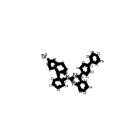 Brc1ccc2c(ccc3c2c2ccccc2n3-c2nc(-c3ccc(-c4ccccc4)cc3)c3ccccc3n2)c1